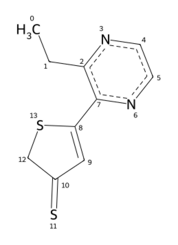 CCc1nccnc1C1=CC(=S)CS1